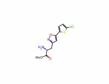 COC(=O)[C@@H](N)Cc1cc(-c2ccc(Cl)s2)on1